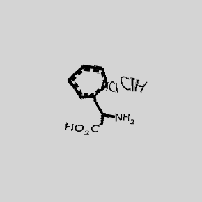 Cl.Cl.NC(C(=O)O)c1ccccc1